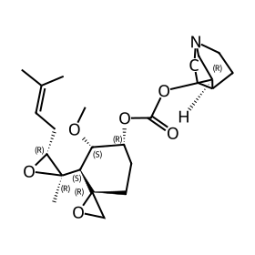 CO[C@@H]1[C@H](OC(=O)O[C@H]2CN3CCC2CC3)CC[C@]2(CO2)[C@H]1[C@@]1(C)O[C@@H]1CC=C(C)C